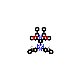 c1ccc(-c2cc(-c3ccccc3)cc(N(c3cc(-c4ccccc4)cc(-c4ccccc4)c3)c3c(-c4ccccc4)cc(-c4nc(-c5ccc6c(c5)sc5ccccc56)nc(-c5ccc6c(c5)sc5ccccc56)n4)cc3-c3ccccc3)c2)cc1